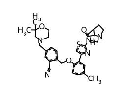 Cc1ccc(OCc2ccc(CN3CCOC(C)(C)C3)cc2C#N)c(-c2csc(N3CC4CCN(C3)[C@H]4C=O)n2)c1